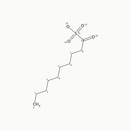 CCCCCCCCCC(=O)S([O])(=O)=O